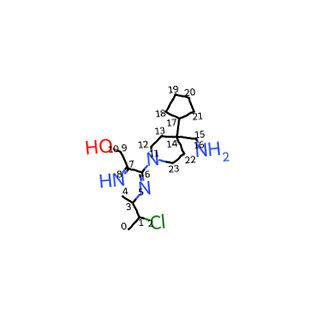 CC(Cl)C(C)/N=C(\C(=N)CO)N1CCC(CN)(C2CCCC2)CC1